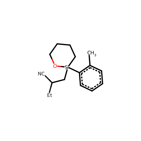 CCC(C#N)C[Si]1(c2ccccc2C)CCCCO1